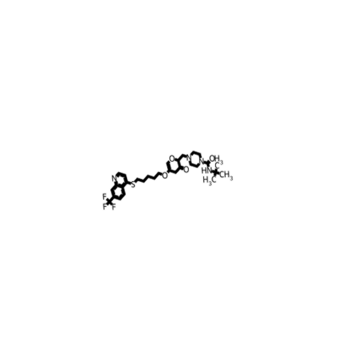 CC(C)(C)NC(=O)N1CCN(CC2OC=C(OCCCCCSc3ccnc4cc(C(F)(F)F)ccc34)CC2=O)CC1